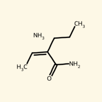 CC=C(CCC)C(N)=O.N